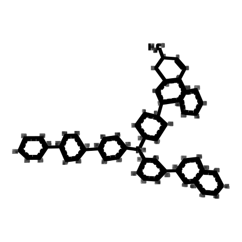 CC1C=Cc2c(cc(-c3ccc(N(c4ccc(-c5ccc(-c6ccccc6)cc5)cc4)c4cccc(-c5ccc6ccccc6c5)c4)cc3)c3ccccc23)C1